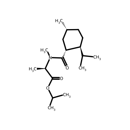 CC(C)OC(=O)[C@@H](C)N(C)C(=O)[C@@H]1C[C@H](C)CC[C@H]1C(C)C